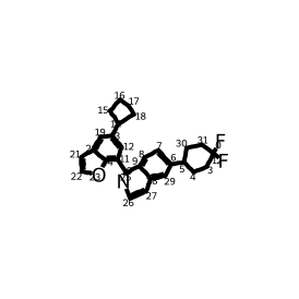 FC1(F)CCC(c2ccc3c(-c4cc(C5CCCC5)cc5ccoc45)nccc3c2)CC1